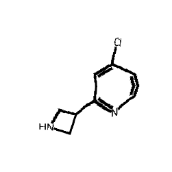 Clc1ccnc(C2CNC2)c1